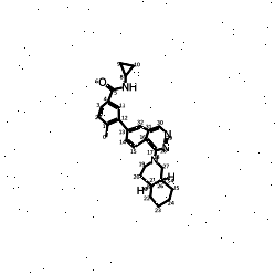 Cc1ccc(C(=O)NC2CC2)cc1-c1ccc2c(N3CC[C@@H]4CCCC[C@H]4C3)nncc2c1